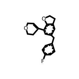 Fc1ccc(Cc2cc3c(c(C4=CCOCC4)c2)OCC3)cc1